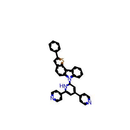 C1=C(c2ccncc2)C=C(c2ccncc2)NC1n1c2ccccc2c2c3sc(-c4ccccc4)cc3ccc21